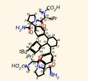 CC(C)[C@@H](C(=O)N1CCC[C@@]1(C(N)=O)c1ccc(C2CCCC(c3ccc([C@]4(C(N)=O)CCCN4C(=O)[C@H](C(C)C)N(C)C(=O)O)cc3)C2c2ccc(C(C)(C)C)cc2)cc1)N(C)C(=O)O